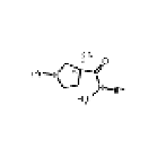 CC(C)N1CC[C@](C#N)(C(=O)N(C)C(C)C)C1